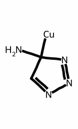 N[C]1([Cu])C=NN=N1